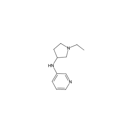 CCN1CCC(Nc2cccnc2)C1